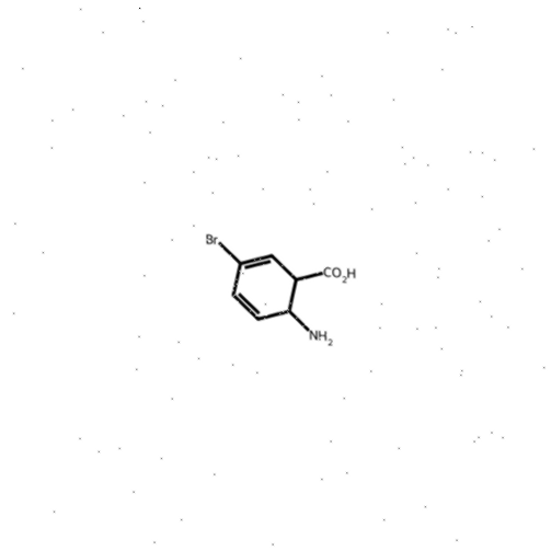 NC1C=CC(Br)=CC1C(=O)O